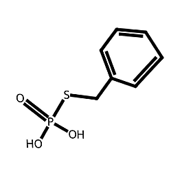 O=P(O)(O)SCc1ccccc1